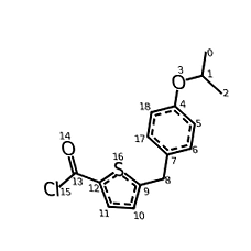 CC(C)Oc1ccc(Cc2ccc(C(=O)Cl)s2)cc1